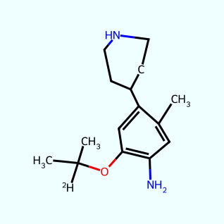 [2H]C(C)(C)Oc1cc(C2CCNCC2)c(C)cc1N